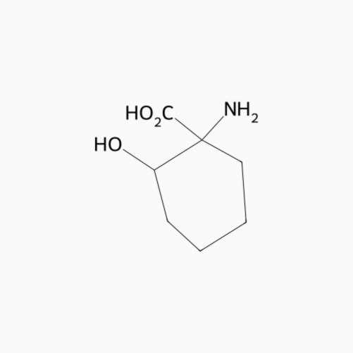 NC1(C(=O)O)CCCCC1O